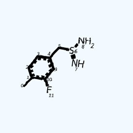 Cc1ccc(CS(=N)N)cc1F